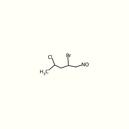 CC(Cl)CC(Br)CN=O